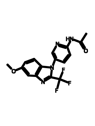 COc1ccc2c(c1)nc(C(F)(F)F)n2-c1ccc(NC(C)=O)nc1